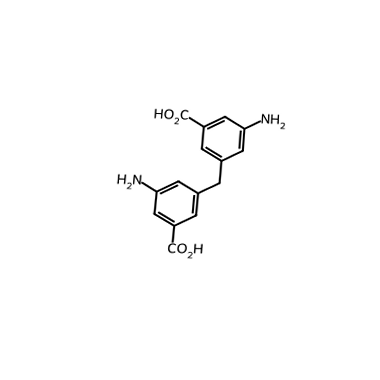 Nc1cc(Cc2cc(N)cc(C(=O)O)c2)cc(C(=O)O)c1